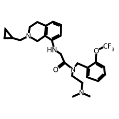 CN(C)CCN(Cc1ccccc1OC(F)(F)F)C(=O)CNc1cccc2c1CN(CC1CC1)CC2